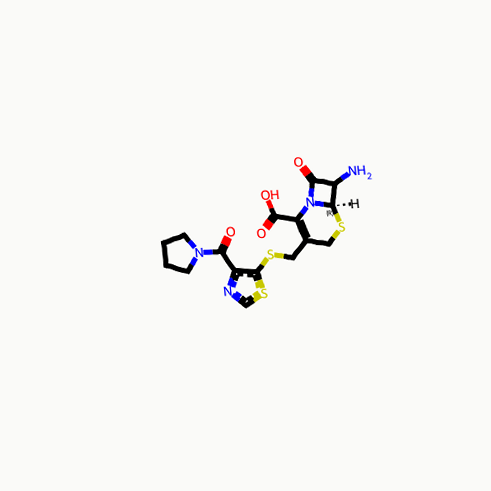 NC1C(=O)N2C(C(=O)O)=C(CSc3scnc3C(=O)N3CCCC3)CS[C@H]12